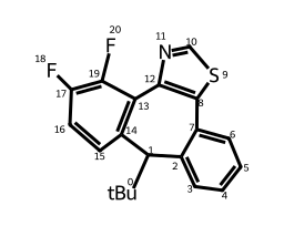 CC(C)(C)C1c2ccccc2-c2scnc2-c2c1ccc(F)c2F